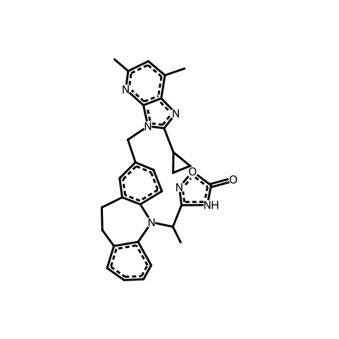 Cc1cc(C)c2nc(C3CC3)n(Cc3ccc4c(c3)CCc3ccccc3N4C(C)c3noc(=O)[nH]3)c2n1